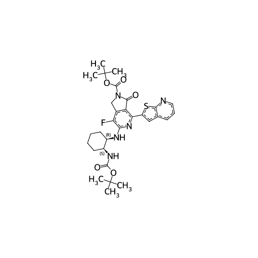 CC(C)(C)OC(=O)N[C@H]1CCCC[C@H]1Nc1nc(-c2cc3cccnc3s2)c2c(c1F)CN(C(=O)OC(C)(C)C)C2=O